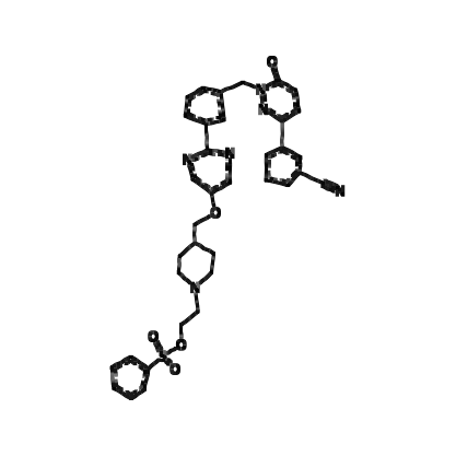 N#Cc1cccc(-c2ccc(=O)n(Cc3cccc(-c4ncc(OCC5CCN(CCOS(=O)(=O)c6ccccc6)CC5)cn4)c3)n2)c1